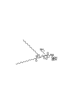 CCCCCCCCCCCCCCCC(=O)OC[C@H](COC(=O)[C@H](CCCCN)N1C(=O)CC(NC(C)OP(=O)(O)O)C1=O)OC(=O)CCCCCCCCCCCCCCC